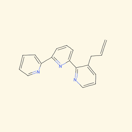 C=CCc1cccnc1-c1cccc(-c2ccccn2)n1